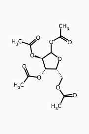 CC(=O)OC[C@H]1OC(OC(C)=O)[C@H](OC(C)=O)[C@H]1OC(C)=O